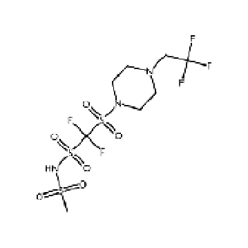 CS(=O)(=O)NS(=O)(=O)C(F)(F)S(=O)(=O)N1CCN(CC(F)(F)F)CC1